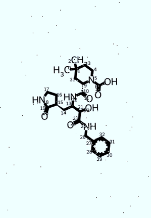 CC1(C)CCN(C(=O)O)[C@H](C(=O)NC(C[C@@H]2CCNC2=O)C(O)C(=O)NCc2ccccc2)C1